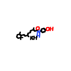 CC(C=CC1=C(C)CCCC1(C)C)=CC=CC(C)=CC(=O)Nc1ccc(O)cc1.[KH]